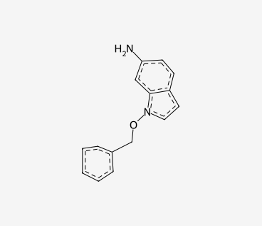 Nc1ccc2ccn(OCc3ccccc3)c2c1